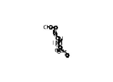 O=[N+]([O-])c1cc(S(=O)(=O)Nc2ncnc3cc(N4CCN(Cc5ccccc5-c5ccc(Cl)cc5)CC4)ccc23)ccc1OCCSc1ccccc1